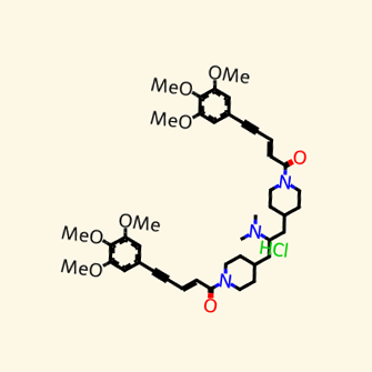 COc1cc(C#C/C=C/C(=O)N2CCC(CC(CC3CCN(C(=O)/C=C/C#Cc4cc(OC)c(OC)c(OC)c4)CC3)N(C)C)CC2)cc(OC)c1OC.Cl